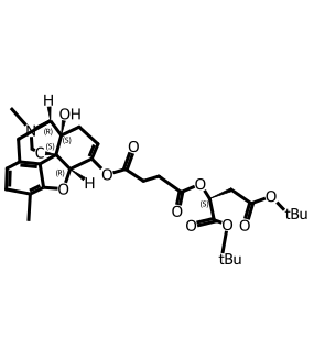 Cc1ccc2c3c1O[C@H]1C(OC(=O)CCC(=O)O[C@@H](CC(=O)OC(C)(C)C)C(=O)OC(C)(C)C)=CC[C@@]4(O)[C@@H](C2)N(C)CC[C@]314